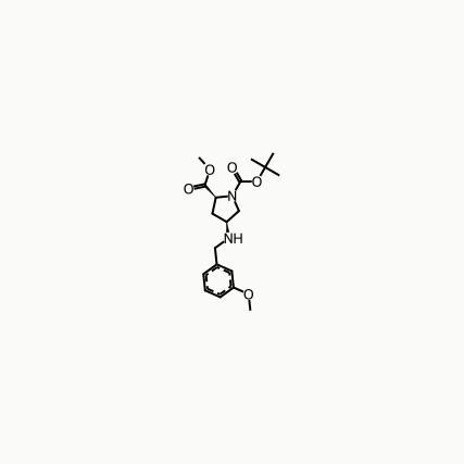 COC(=O)[C@@H]1C[C@H](NCc2cccc(OC)c2)CN1C(=O)OC(C)(C)C